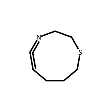 C1=CCCCSCCN=1